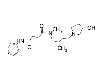 C[C@@H](CCN1CC[C@H](O)C1)CN(C)C(=O)CCC(=O)Nc1ccccc1